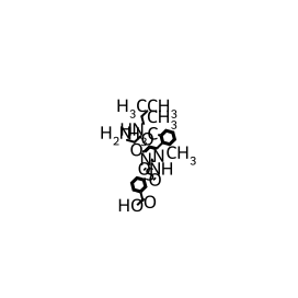 Cc1cccc(C)c1-c1cc(OC(CN)C(=O)NCCC(C)(C)C)nc(NS(=O)(=O)c2cccc(C(=O)O)c2)n1